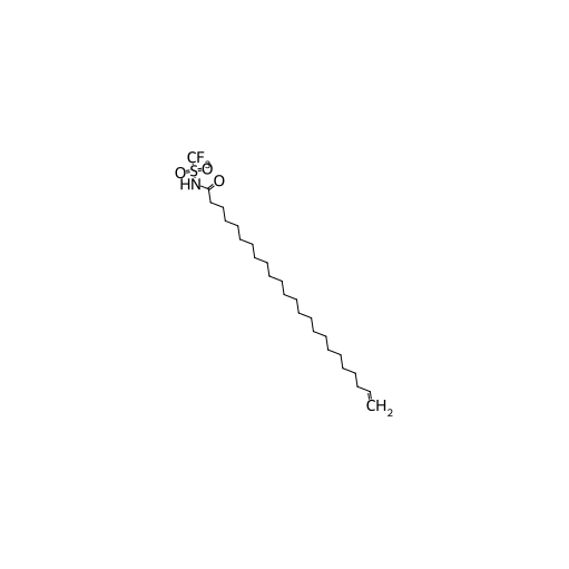 C=CCCCCCCCCCCCCCCCCCCCCCC(=O)NS(=O)(=O)C(F)(F)F